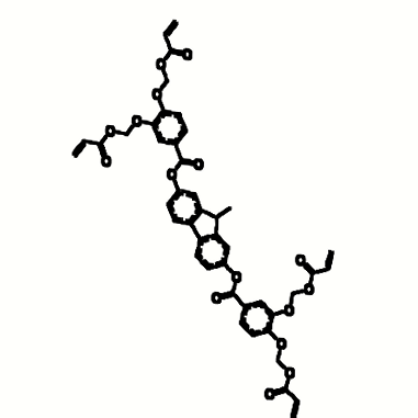 C=CC(=O)OCOc1ccc(C(=O)Oc2ccc3c(c2)C(C)c2cc(OC(=O)c4ccc(OCOC(=O)C=C)c(OCOC(=O)C=C)c4)ccc2-3)cc1OCOC(=O)C=C